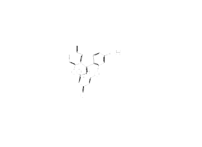 C=C/C=C(\C(=C/C)C(=O)O)c1c2ccc(=O)cc-2oc2cc(O)ccc12